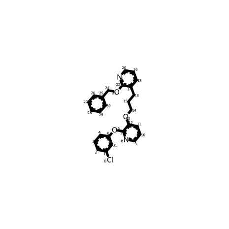 Clc1cccc(Oc2ncccc2OCCCc2cccnc2OCc2ccccc2)c1